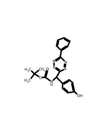 CC(C)(C)OC(=O)NC(c1ccc(O)cc1)c1nnc(-c2ccccc2)nn1